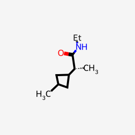 CCNC(=O)[C@H](C)C1CC(C)C1